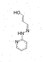 O/C=C/C=N\Nc1ccccn1